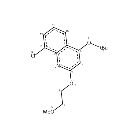 COCCOc1cc(OC(C)(C)C)c2cccc(Cl)c2n1